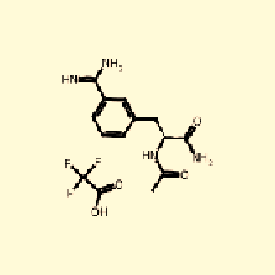 CC(=O)N[C@@H](Cc1cccc(C(=N)N)c1)C(N)=O.O=C(O)C(F)(F)F